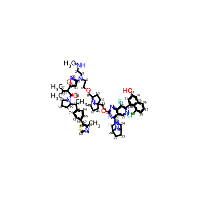 CNCCN(CCOCC1CCC2(COc3nc(N4CC5CCC(C4)N5)c4cnc(-c5cc(O)cc6cccc(Cl)c56)c(F)c4n3)CCCN12)c1cc(C(C(=O)N2CCCC2C(C)c2ccc(-c3scnc3C)cc2)C(C)C)on1